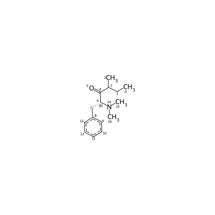 CCC(C)C(=O)[C@@H](Cc1ccccc1)N(C)C